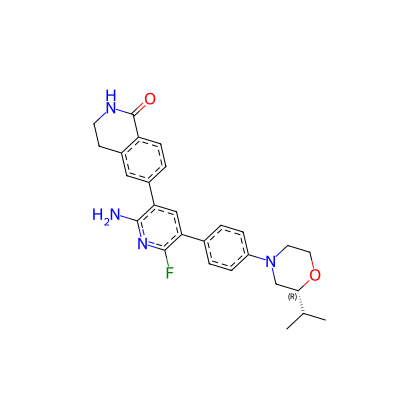 CC(C)[C@@H]1CN(c2ccc(-c3cc(-c4ccc5c(c4)CCNC5=O)c(N)nc3F)cc2)CCO1